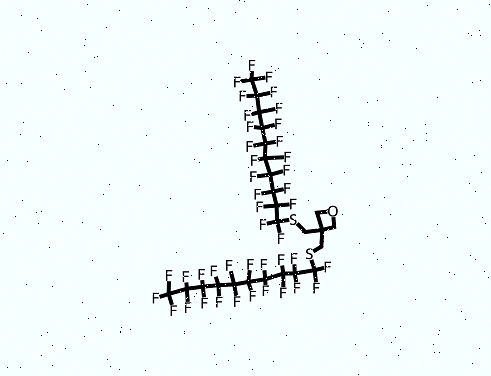 FC(F)(F)C(F)(F)C(F)(F)C(F)(F)C(F)(F)C(F)(F)C(F)(F)C(F)(F)C(F)(F)C(F)(F)SCC1(CSC(F)(F)C(F)(F)C(F)(F)C(F)(F)C(F)(F)C(F)(F)C(F)(F)C(F)(F)C(F)(F)C(F)(F)F)COC1